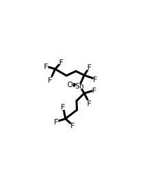 [O]=[Sn]([C](F)(F)CCC(F)(F)F)[C](F)(F)CCC(F)(F)F